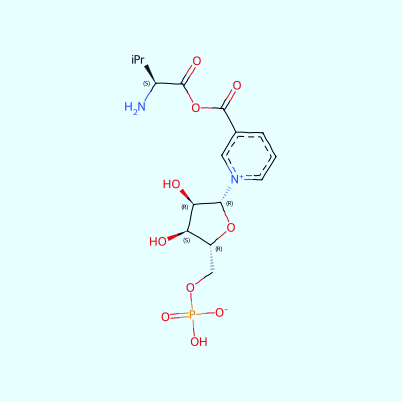 CC(C)[C@H](N)C(=O)OC(=O)c1ccc[n+]([C@@H]2O[C@H](COP(=O)([O-])O)[C@@H](O)[C@H]2O)c1